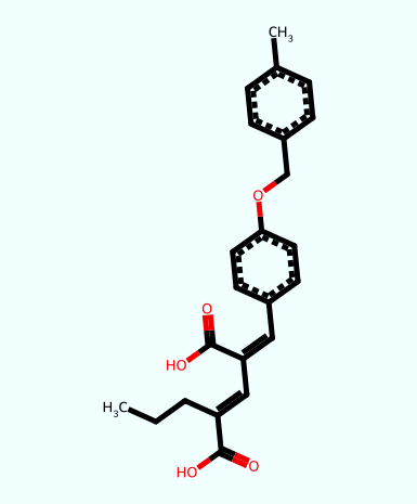 CCCC(=CC(=Cc1ccc(OCc2ccc(C)cc2)cc1)C(=O)O)C(=O)O